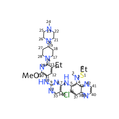 CCSN(C)c1c(Nc2nc(Nc3cc(CC)c(N4CCC(N5CCN(C)CC5)CC4)nc3OC)ncc2Cl)ccc2nccnc12